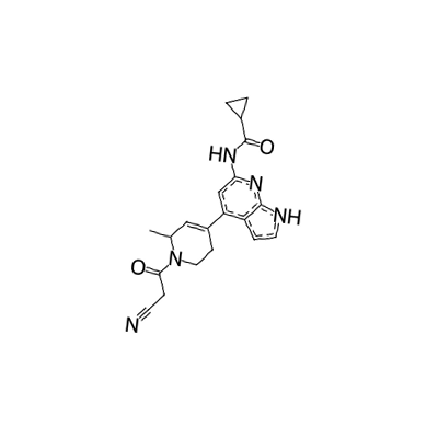 CC1C=C(c2cc(NC(=O)C3CC3)nc3[nH]ccc23)CCN1C(=O)CC#N